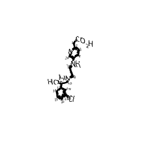 O=C(O)Cc1ccc(NCCNCC(O)c2cccc(Cl)c2)cn1